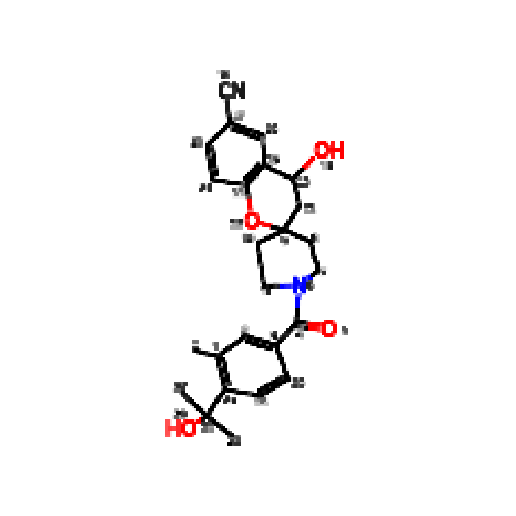 Cc1cc(C(=O)N2CCC3(CC2)CC(O)c2cc(C#N)ccc2O3)ccc1C(C)(C)O